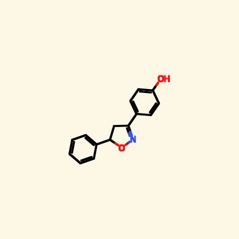 Oc1ccc(C2=NOC(c3ccccc3)C2)cc1